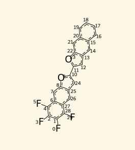 Fc1c(F)c(F)c2cc3oc(-c4cc5cc6ccccc6cc5o4)cc3cc2c1F